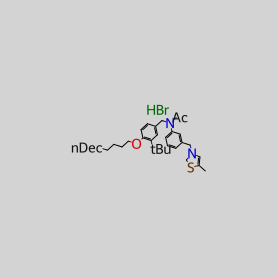 Br.CCCCCCCCCCCCCCOc1ccc(CN(C(C)=O)c2cccc(CN3C=C(C)SC3)c2)cc1C(C)(C)C